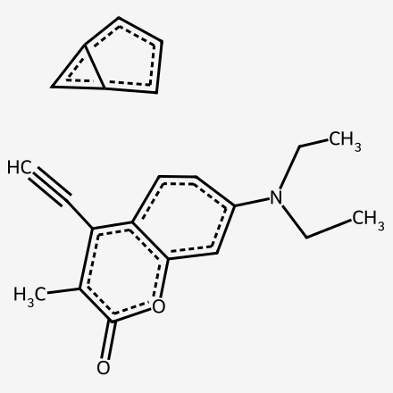 C#Cc1c(C)c(=O)oc2cc(N(CC)CC)ccc12.c1cc2cc-2c1